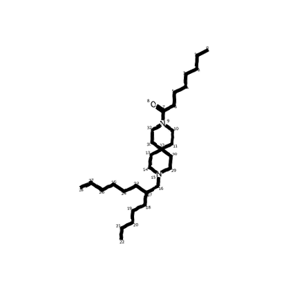 CCCCCCCC(=O)N1CCC2(CCN(CC(CCCCC)CCCCCC)CC2)CC1